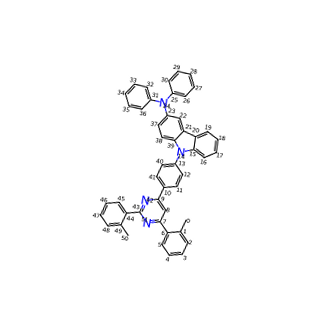 Cc1ccccc1-c1cc(-c2ccc(-n3c4ccccc4c4cc(N(c5ccccc5)c5ccccc5)ccc43)cc2)nc(-c2ccccc2C)n1